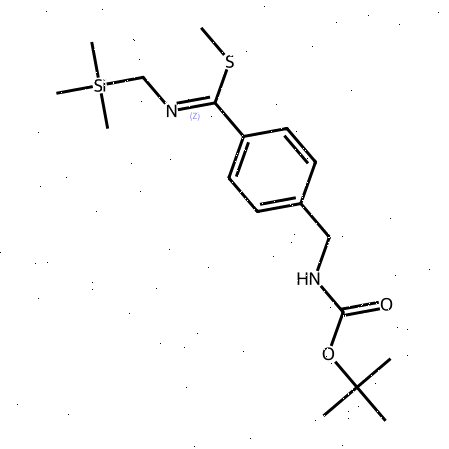 CS/C(=N\C[Si](C)(C)C)c1ccc(CNC(=O)OC(C)(C)C)cc1